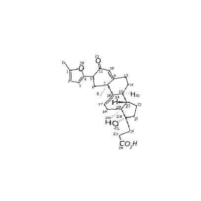 Cc1ccc(C2C[C@@]3(C)C(=CC2=O)CC[C@@H]2C3=CC[C@@]3(C)[C@H]2CC[C@@]3(O)CCC(=O)O)o1